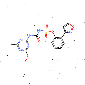 COc1nc(C)nc(NC(=O)NS(=O)(=O)Oc2ccccc2-c2ccon2)n1